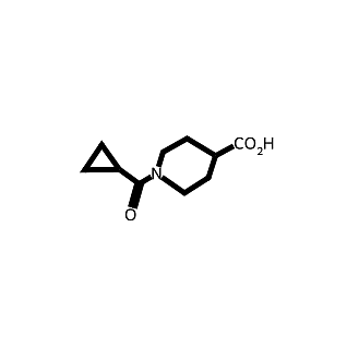 O=C(O)C1CCN(C(=O)C2CC2)CC1